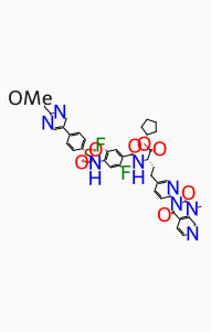 COCc1ncc(-c2ccc(S(=O)(=O)Nc3cc(F)c(C(=O)N[C@@H](CCc4ccc(-n5c(=O)c6ccncc6n(C)c5=O)nc4)C(=O)OC4CCCC4)cc3F)cc2)cn1